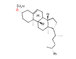 CC(C)[C@H](C)CC[C@@H](C)[C@H]1CC[C@H]2[C@@H]3CC=C4C[C@@H](OS(=O)(=O)O)CC[C@]4(C)[C@H]3CC[C@]12C